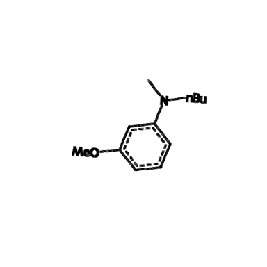 CCCCN(C)c1cccc(OC)c1